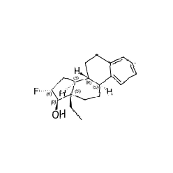 CC[C@]12CC[C@@H]3c4cc[c]cc4CC[C@H]3[C@@H]1C[C@@H](F)[C@@H]2O